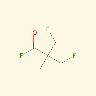 CC(CF)(CF)C(=O)F